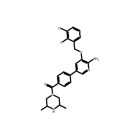 CC1CN(C(=O)c2ccc(-c3cnc(N)c(OCc4cccc(Cl)c4F)c3)cc2)CC(C)N1